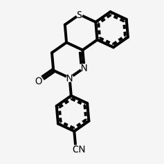 N#Cc1ccc(N2N=C3c4ccccc4SCC3CC2=O)cc1